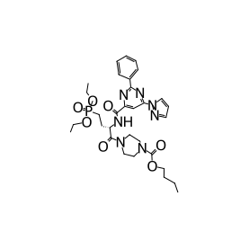 CCCCOC(=O)N1CCN(C(=O)[C@H](CCP(=O)(OCC)OCC)NC(=O)c2cc(-n3cccn3)nc(-c3ccccc3)n2)CC1